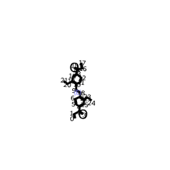 C=CC(=O)c1ccc(/C=C/c2ccc(C(=O)C=C)cc2CC)c(CC)c1